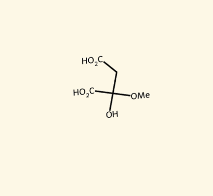 COC(O)(CC(=O)O)C(=O)O